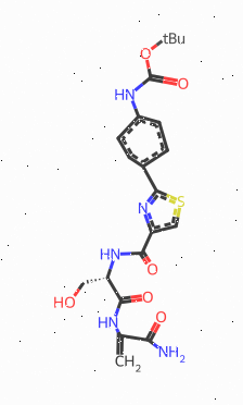 C=C(NC(=O)[C@H](CO)NC(=O)c1csc(-c2ccc(NC(=O)OC(C)(C)C)cc2)n1)C(N)=O